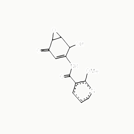 COc1ncccc1C(=O)NC1=CC(=O)C2OC2C1O